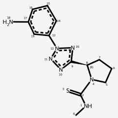 CNC(=S)N1CCC[C@@H]1c1nnn(-c2cccc(N)c2)n1